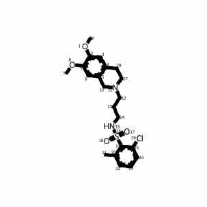 COc1cc2c(cc1OC)CN(CCCNS(=O)(=O)c1c(C)cccc1Cl)CC2